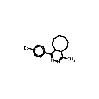 CCc1ccc(C2=NN=C(C)C3CCCCCCC23)cc1